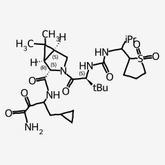 CC(C)C(NC(=O)N[C@H](C(=O)N1C[C@H]2[C@@H]([C@H]1C(=O)NC(CC1CC1)C(=O)C(N)=O)C2(C)C)C(C)(C)C)C1CCCS1(=O)=O